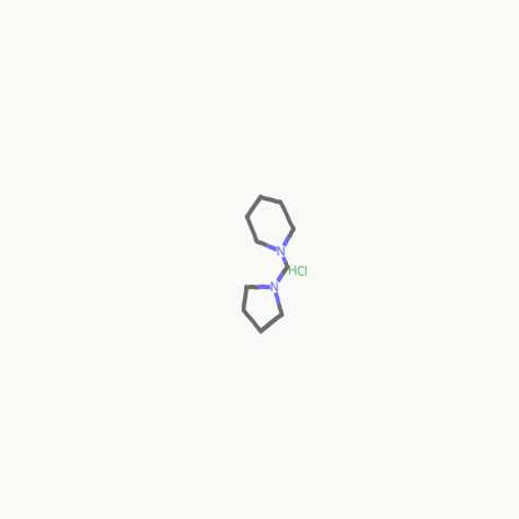 C1CCN(CN2CCCC2)CC1.Cl